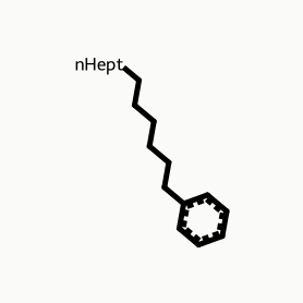 CCCCCCCCCCCCCc1ccccc1